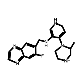 CC1CNCCN1C1=CCNC=C1NCc1cc2nccnc2cc1F